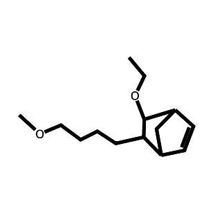 CCOC1C2C=CC(C2)C1CCCCOC